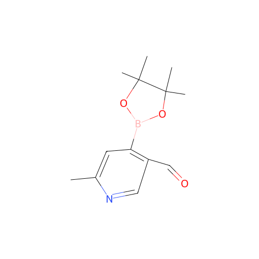 Cc1cc(B2OC(C)(C)C(C)(C)O2)c(C=O)cn1